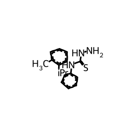 Cc1ccccc1C(C)C.NNC(=S)Nc1ccccc1